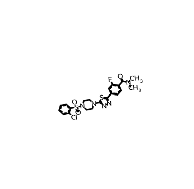 CN(C)C(=O)c1ccc(-c2nnc(N3CCN(S(=O)(=O)c4ccccc4Cl)CC3)s2)cc1F